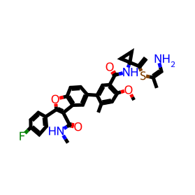 C=C(S/C(C)=C\N)C1(NC(=O)c2cc(-c3ccc4oc(-c5ccc(F)cc5)c(C(=O)NC)c4c3)c(C)cc2OC)CC1